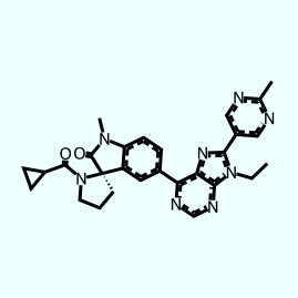 CCn1c(-c2cnc(C)nc2)nc2c(-c3ccc4c(c3)[C@]3(CCCN3C(=O)C3CC3)C(=O)N4C)ncnc21